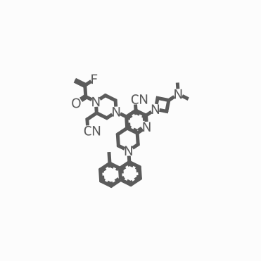 C=C(F)C(=O)N1CCN(c2c(C#N)c(N3CC(N(C)C)C3)nc3c2CCN(c2cccc4cccc(C)c24)C3)CC1CC#N